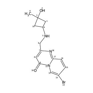 CC1(O)CC(NCc2cc(=O)n3cc(Br)ccc3n2)C1